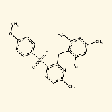 COc1ccc(S(=O)(=O)c2cnc(C)nc2Cc2c(C)cc(C)cc2C)cc1